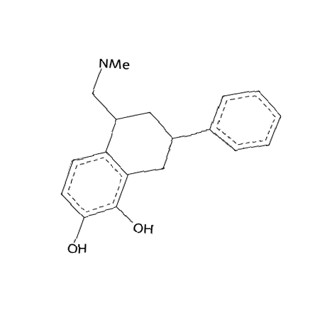 CNCC1CC(c2ccccc2)Cc2c1ccc(O)c2O